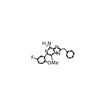 COc1ccc(F)cc1-c1nc(N)c2nc(Cc3ccccc3)nn2c1C